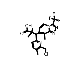 Cc1ccc(C(c2ccn3c(C(F)(F)F)nnc3c2C)C(C)(C)C(=O)O)nc1CCl